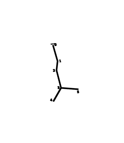 [C]CCC(C)C